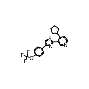 FC(F)(F)Oc1ccc(-c2csc(-c3cnccc3C3CCCC3)n2)cc1